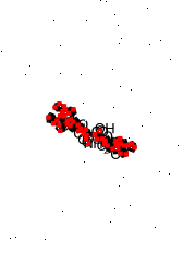 NOS(=O)(=O)c1cc(N2C(=O)c3ccc4c5c(ccc(c35)C2=O)C(=O)N(c2cc(C3C(c5ccccc5)=Cc5ccccc53)cc(C3C(c5ccccc5)=Cc5ccccc53)c2)C4=O)ccc1/C=C/c1ccc(N2C(=O)c3ccc4c5c(ccc(c35)C2=O)C(=O)N(c2ccccc2C2C(c3ccccc3)=Cc3ccccc32)C4=O)cc1S(=O)(=O)O